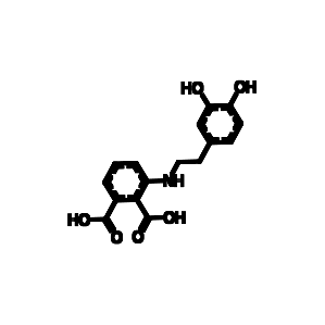 O=C(O)c1cccc(NCCc2ccc(O)c(O)c2)c1C(=O)O